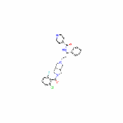 O=C(NC(CCN1CC2CN(C(=O)c3c(F)cccc3Cl)CC2C1)c1ccccc1)c1ccncc1